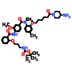 COc1cc(C(=O)N(C)c2ccc(C)cc2OCCCCCC(=O)N2CCC(N)CC2)ccc1NC(=O)c1ccccc1OCCCNC(=O)OC(C)(C)C